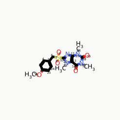 COc1ccc(CS(=O)(=O)c2nc3c(c(=O)n(C)c(=O)n3C)n2C)cc1